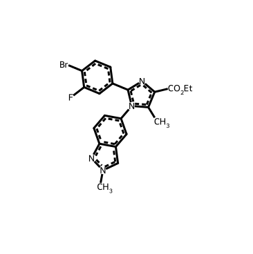 CCOC(=O)c1nc(-c2ccc(Br)c(F)c2)n(-c2ccc3nn(C)cc3c2)c1C